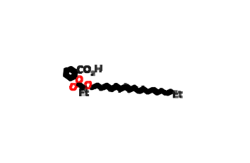 CCC=CCC=CCC=CCC=CCC=CCCCCO[C@H](CC)C(=O)Oc1ccccc1C(=O)O